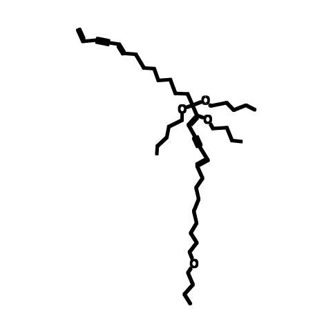 C=CC#C/C=C/CCCCCCCC(OCCCCC)(OCCCCC)C(=CC#C/C=C/CCCCCCCCOCCCC)OCCCC